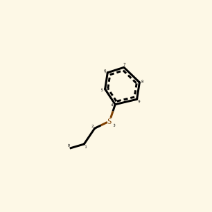 CCCSc1c[c]ccc1